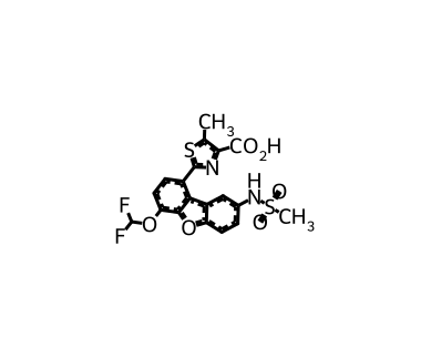 Cc1sc(-c2ccc(OC(F)F)c3oc4ccc(NS(C)(=O)=O)cc4c23)nc1C(=O)O